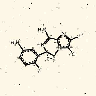 C[C@@]1(c2cc(N)ccc2F)Cn2c(nc(Cl)c2Cl)C(N)=N1